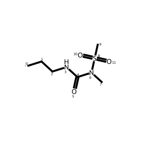 [CH2]CCNC(=O)N(C)S(C)(=O)=O